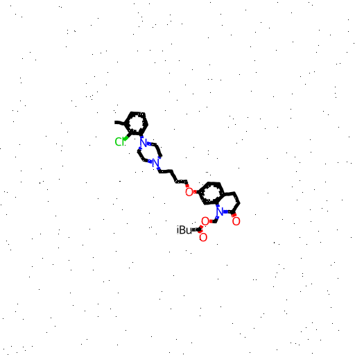 CCC(C)C(=O)OCN1C(=O)CCc2ccc(OCCCCN3CCN(c4cccc(C)c4Cl)CC3)cc21